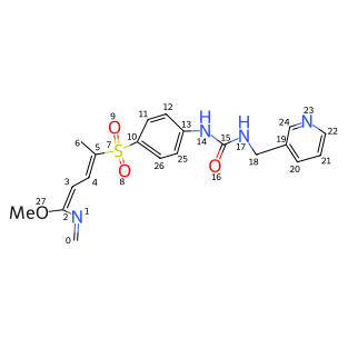 C=N/C(=C\C=C(/C)S(=O)(=O)c1ccc(NC(=O)NCc2cccnc2)cc1)OC